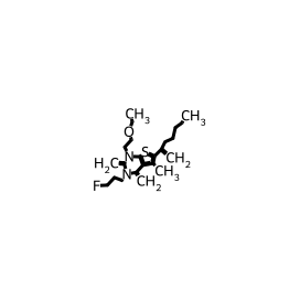 C=C(CCCCC)c1sc2c(c1C)C(=C)N(CCCF)C(=C)N2CCOCC